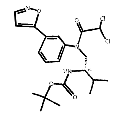 CC(C)[C@@H](CN(C(=O)C(Cl)Cl)c1cccc(-c2ccno2)c1)NC(=O)OC(C)(C)C